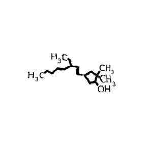 CCCCCC(/C=C/[C@@H]1CC(O)C(C)(C)C1)CC